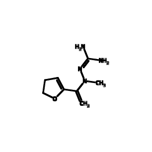 C=C(C1=CCCO1)N(C)N=C(N)N